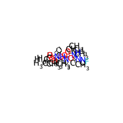 CC[C@H](C)[C@@H]([C@@H](CC(=O)N1CCC[C@H]1[C@H](OC)[C@@H](C)C(=O)N[C@@H](Cc1ccccc1)C(=O)OC(C)(C)C(C)(C)C)OC)N(C)C(=O)[C@@H](Nc1cccc(F)n1)C(C)C